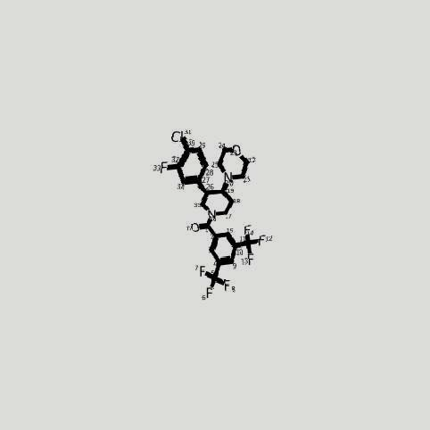 O=C(c1cc(C(F)(F)F)cc(C(F)(F)F)c1)N1CCC(N2CCOCC2)C(c2ccc(Cl)c(F)c2)C1